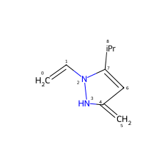 C=CN1NC(=C)C=C1C(C)C